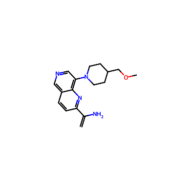 C=C(N)c1ccc2cncc(N3CCC(COC)CC3)c2n1